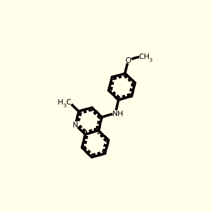 COc1ccc(Nc2cc(C)nc3ccccc23)cc1